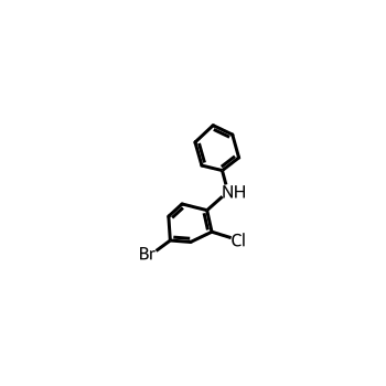 Clc1cc(Br)ccc1Nc1ccccc1